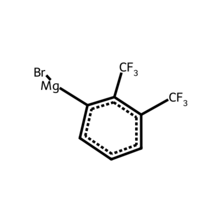 FC(F)(F)c1ccc[c]([Mg][Br])c1C(F)(F)F